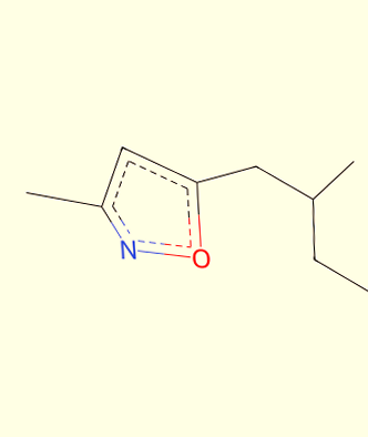 CCC(C)Cc1cc(C)no1